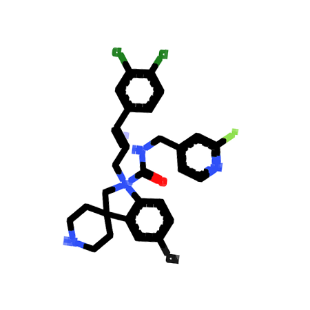 N#Cc1ccc2c(c1)C1(CCNCC1)C[N+]2(C/C=C/c1ccc(Cl)c(Cl)c1)C(=O)NCc1ccnc(F)c1